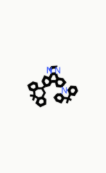 CC1(C)c2ccccc2CC(c2ccc3c(c2)c2cc(N4c5ccccc5C(C)(C)c5ccccc54)ccc2c2nccnc32)c2ccccc21